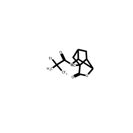 CCC(C)(C(=O)OC1C2CC3C1OC(=O)C3(C#N)C2)C(F)(F)F